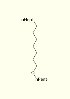 CCCC[CH]OCCCCCCCCCCCCCC